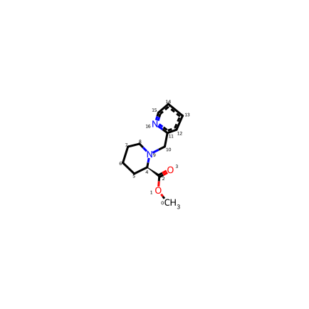 COC(=O)[C@H]1CCCCN1Cc1ccccn1